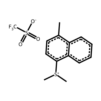 Cc1ccc([S+](C)C)c2ccccc12.O=S(=O)([O-])C(F)(F)F